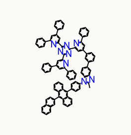 Cc1nc2cc(-c3cccc(-c4cc(-c5ccccc5)nc(-c5nc(-c6cc(-c7ccccc7)cc(-c7ccccc7)n6)nc(-c6cc(-c7ccccc7)cc(-c7ccccc7)n6)n5)c4)c3)ccc2n1-c1ccc(-c2c3ccccc3c(-c3ccc4ccccc4c3)c3ccccc23)cc1